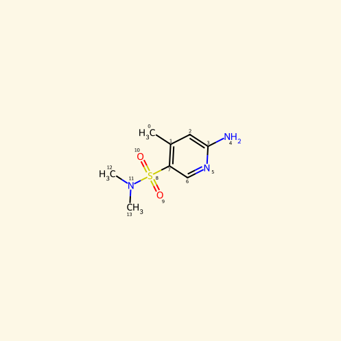 Cc1cc(N)ncc1S(=O)(=O)N(C)C